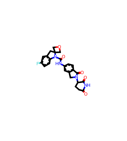 O=C1CCC(N2Cc3cc(NC(=O)N4c5ccc(F)cc5CC45COC5)ccc3C2=O)C(=O)N1